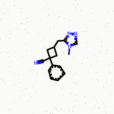 Cn1cnnc1CC1CC(C#N)(c2ccccc2)C1